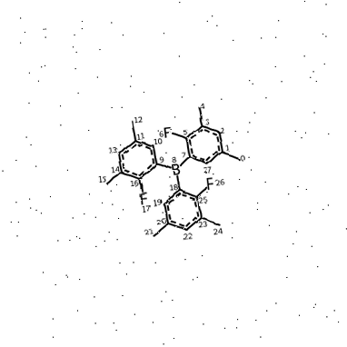 Cc1cc(C)c(F)c(B(c2cc(C)cc(C)c2F)c2cc(C)cc(C)c2F)c1